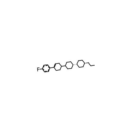 CCC[C@H]1CC[C@H](C2CCC(C3CC=C(c4ccc(F)cc4)CC3)CC2)CC1